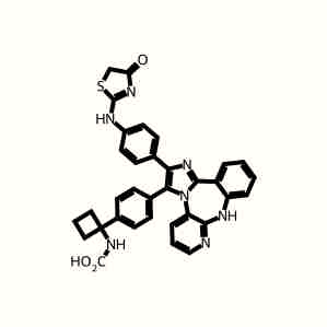 O=C1CSC(Nc2ccc(-c3nc4n(c3-c3ccc(C5(NC(=O)O)CCC5)cc3)-c3cccnc3Nc3ccccc3-4)cc2)=N1